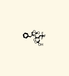 O=C(O)C[C@@H](CC(F)(F)F)C(=O)N1C(=O)OC[C@@H]1Cc1ccccc1